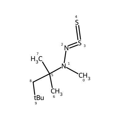 CN(N=S=S)C(C)(C)CC(C)(C)C